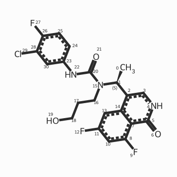 C[C@@H](c1c[nH]c(=O)c2c(F)cc(F)cc12)N(CCCO)C(=O)Nc1ccc(F)c(Cl)c1